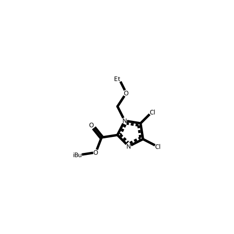 CCOCn1c(C(=O)OC(C)CC)nc(Cl)c1Cl